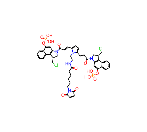 O=C(CCCCCN1C(=O)C=CC1=O)NCCn1c(/C=C/C(=O)N2C[C@@H](CCl)c3c2cc(OP(=O)(O)O)c2ccccc32)ccc1/C=C/C(=O)N1C[C@@H](CCl)c2c1cc(OP(=O)(O)O)c1ccccc21